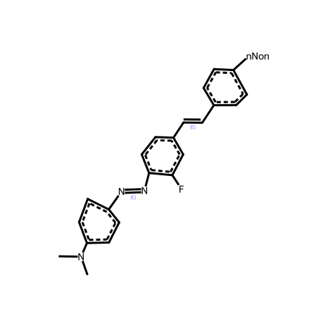 CCCCCCCCCc1ccc(/C=C/c2ccc(/N=N/c3ccc(N(C)C)cc3)c(F)c2)cc1